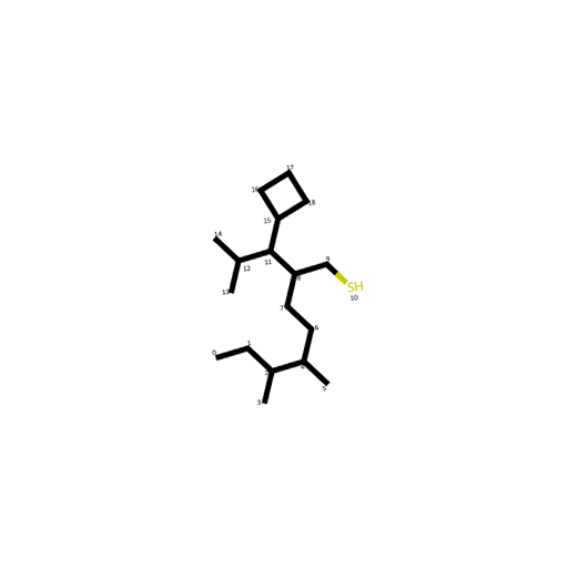 CCC(C)C(C)CCC(CS)C(C(C)C)C1CCC1